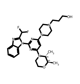 C[C@@H]1[C@@H](C)OCCN1c1cc(N2CCN(CCCO)CC2)nc(-n2c(C(F)F)nc3ccccc32)n1